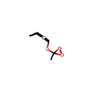 CC=C=COC1(C)OO1